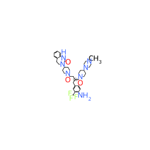 CN1CCN(C2CCN(C(=O)[C@H](CC(=O)N3CCC(N4CCc5ccccc5NC4=O)CC3)Cc3ccc(N)c(C(F)(F)F)c3)CC2)CC1